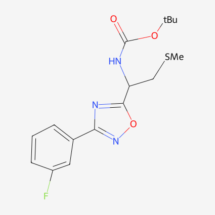 CSCC(NC(=O)OC(C)(C)C)c1nc(-c2cccc(F)c2)no1